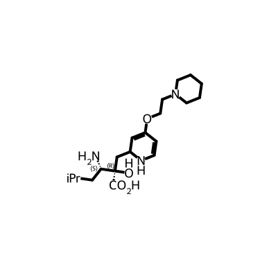 CC(C)C[C@H](N)[C@](O)(CC1C=C(OCCN2CCCCC2)C=CN1)C(=O)O